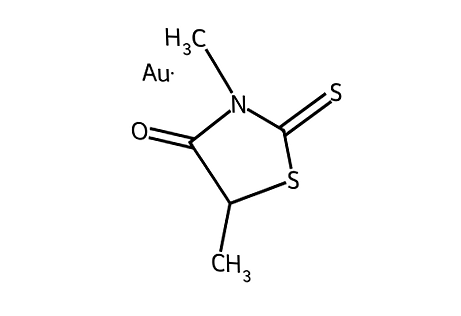 CC1SC(=S)N(C)C1=O.[Au]